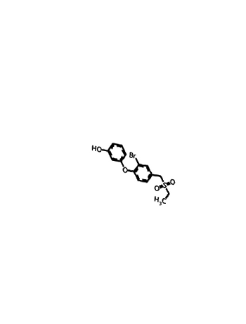 CCS(=O)(=O)Cc1ccc(Oc2cccc(O)c2)c(Br)c1